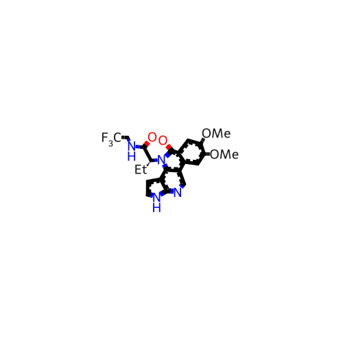 CC[C@H](C(=O)NCC(F)(F)F)n1c(=O)c2cc(OC)c(OC)cc2c2cnc3[nH]ccc3c21